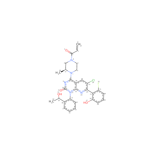 C=CC(=O)N1CCN(c2nc(=O)n(-c3ccccc3C(C)O)c3nc(-c4c(O)cccc4F)c(Cl)cc23)[C@@H](C)C1